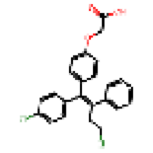 O=C(O)COc1ccc(/C(=C(/CCCl)c2ccccc2)c2ccc(Cl)cc2)cc1